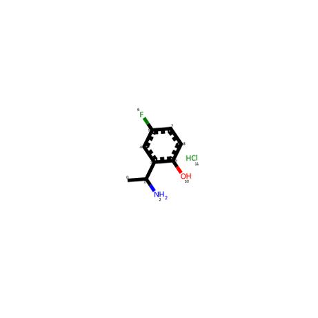 CC(N)c1cc(F)ccc1O.Cl